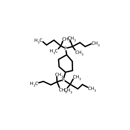 CCCC(C)(C)P(C1CCC(P(C(C)(C)CCC)C(C)(C)CCC)CC1)C(C)(C)CCC